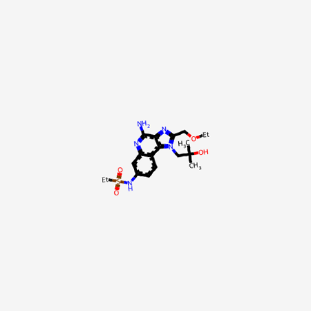 CCOCc1nc2c(N)nc3cc(NS(=O)(=O)CC)ccc3c2n1CC(C)(C)O